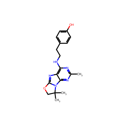 Cc1nc(NCCc2ccc(O)cc2)c2nc3n(c2n1)C(C)(C)CO3